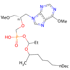 CCCCCCCCCCCCCCC(C)OC(CC)OP(=O)(O)CO[C@H](COC)Cn1cnc2c(OC)ncnc21